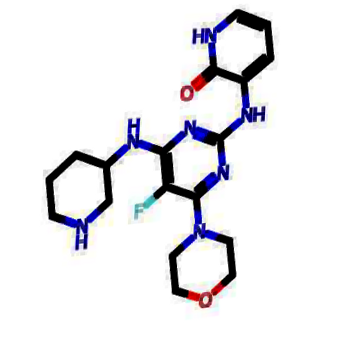 O=c1[nH]cccc1Nc1nc(NC2CCCNC2)c(F)c(N2CCOCC2)n1